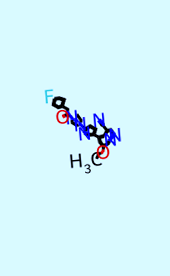 CCOc1cc(-c2ccc(N3CCN(C(=O)Cc4ccc(F)cc4)CC3)nc2)c2c(C#N)cnn2c1